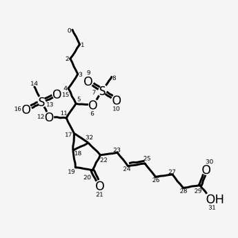 CCCCCC(OS(C)(=O)=O)C(OS(C)(=O)=O)C1C2CC(=O)C(CC=CCCCC(=O)O)C21